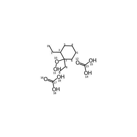 CCC1CCCCC1(CC)OO.O=C(O)O.O=C(O)O